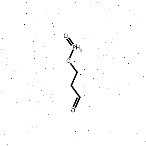 O=CCCO[PH2]=O